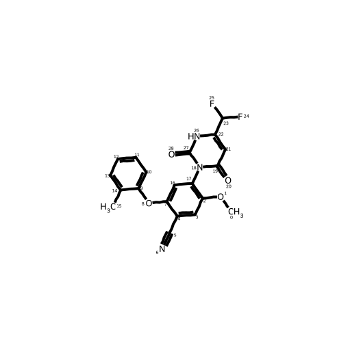 COc1cc(C#N)c(Oc2ccccc2C)cc1-n1c(=O)cc(C(F)F)[nH]c1=O